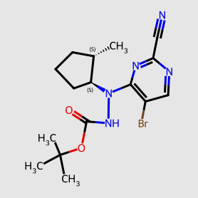 C[C@H]1CCC[C@@H]1N(NC(=O)OC(C)(C)C)c1nc(C#N)ncc1Br